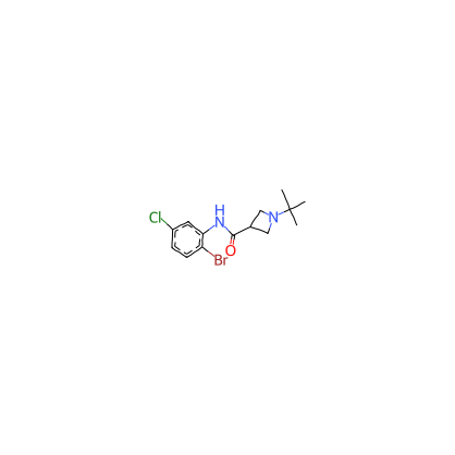 CC(C)(C)N1CC(C(=O)Nc2cc(Cl)ccc2Br)C1